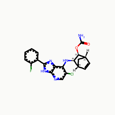 NC(=O)O[C@@H]1[C@H](Nc2c(Cl)cnc3[nH]c(-c4ccccc4F)nc23)[C@H]2C=C[C@@H]1C2